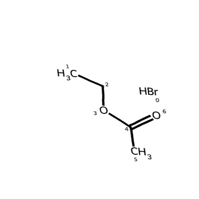 Br.CCOC(C)=O